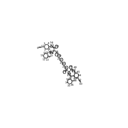 C#Cc1ccc2c(c1)C(c1ccccc1C)=NC(COOCOCOCOC(=O)C1N=C(c3ccccc3C)c3cc(C#C)ccc3N(C)C1=O)C(=O)N2C